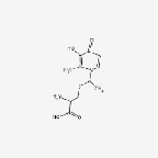 Cc1c(O)c(=O)ccn1C(C)SCC(N)C(=O)O